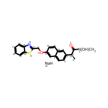 C[C@H](C(=O)N(C)O)c1ccc2cc(OCc3nc4ccccc4s3)ccc2c1.[NaH]